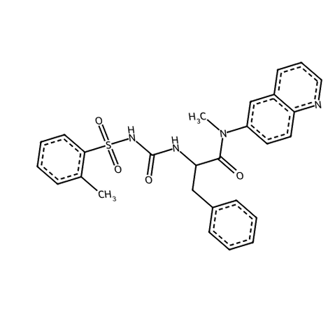 Cc1ccccc1S(=O)(=O)NC(=O)NC(Cc1ccccc1)C(=O)N(C)c1ccc2ncccc2c1